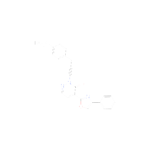 O=C(O)c1ccc(CC#Cn2nccc(-c3nc(-c4ccccc4)co3)c2=O)cc1